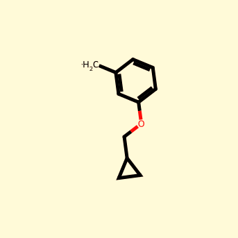 [CH2]c1cccc(OCC2CC2)c1